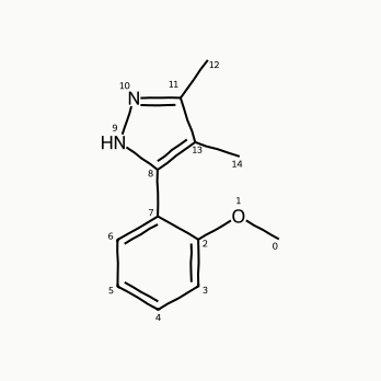 COc1ccccc1-c1[nH]nc(C)c1C